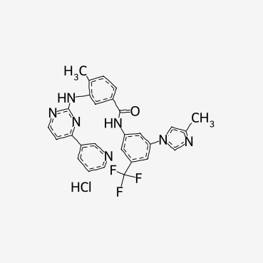 Cc1cn(-c2cc(NC(=O)c3ccc(C)c(Nc4nccc(-c5cccnc5)n4)c3)cc(C(F)(F)F)c2)cn1.Cl